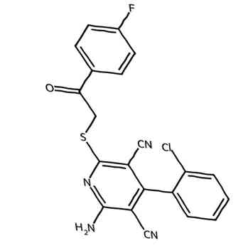 N#Cc1c(N)nc(SCC(=O)c2ccc(F)cc2)c(C#N)c1-c1ccccc1Cl